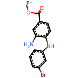 CC(C)OC(=O)c1ccc(Nc2cccc(Br)c2)c(N)c1